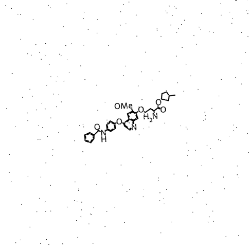 COc1cc2c(Oc3ccc(NC(=O)c4ccccc4)cc3)ccnc2cc1OCCC(N)C(=O)OC1CCC(C)C1